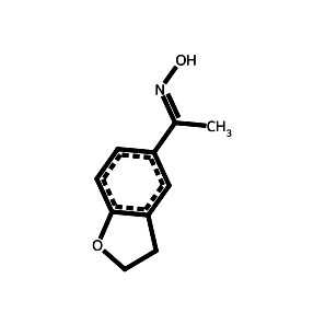 CC(=NO)c1ccc2c(c1)CCO2